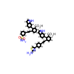 NS(=O)(=O)c1cccc(C#Cc2cccc(C(=O)O)c2-c2ccc3cc[nH]c3c2)c1.Nc1nc(-c2ccc(C#Cc3cccc(C(=O)O)c3-c3ccc4cc[nH]c4c3)cc2)cs1